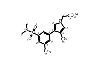 CN(C)S(=O)(=O)c1cc(-c2cn(CC(=O)O)cc2C#N)cc(C(F)(F)F)c1